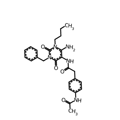 CCCCn1c(N)c(NC(=O)Cc2ccc(NC(C)=O)cc2)c(=O)n(Cc2ccccc2)c1=O